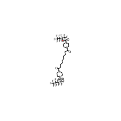 O=C(CCCCCCCCC(=O)N1CCN(S(=O)(=O)C(F)(F)C(F)(F)C(F)(F)C(F)(F)F)CC1)N1CCN(S(=O)(=O)C(F)(F)C(F)(F)C(F)(F)C(F)(F)F)CC1